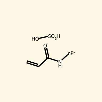 C=CC(=O)NCCC.O=S(=O)(O)O